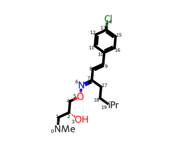 CNC[C@@H](O)CO/N=C(/C=C/c1ccc(Cl)cc1)CCC(C)C